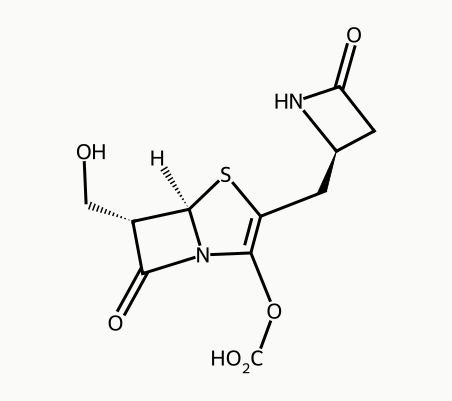 O=C1C[C@@H](CC2=C(OC(=O)O)N3C(=O)[C@H](CO)[C@H]3S2)N1